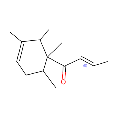 C/C=C/C(=O)C1(C)C(C)CC=C(C)C1C